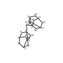 C1C2CC3CC1CC([P]C14CC5CC(CC(C5)C1)C4)(C2)C3